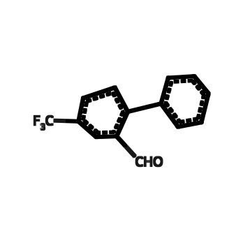 O=Cc1cc(C(F)(F)F)ccc1-c1ccccc1